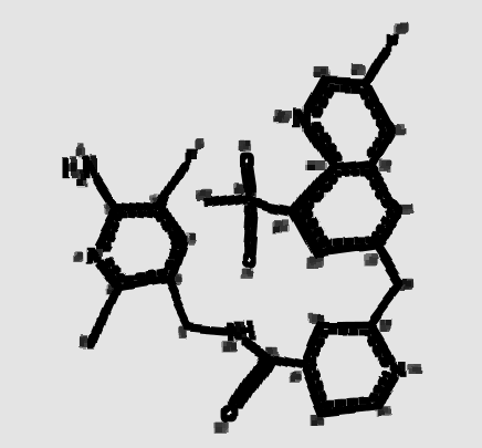 Cc1nc(N)c(F)cc1CNC(=O)c1ccnc(Cc2cc(S(C)(=O)=O)c3ncc(F)cc3c2)c1